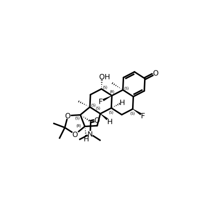 CN(C)C(=O)[C@@]12OC(C)(C)O[C@@H]1C[C@H]1[C@@H]3C[C@H](F)C4=CC(=O)C=C[C@]4(C)[C@@]3(F)[C@@H](O)C[C@@]12C